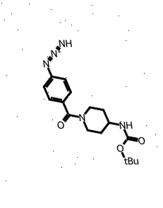 CC(C)(C)OC(=O)NC1CCN(C(=O)c2ccc(N=[N+]=N)cc2)CC1